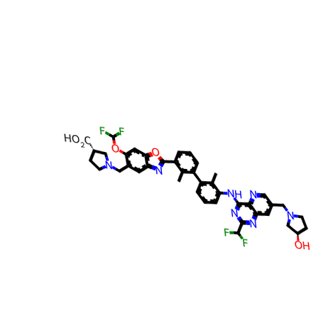 Cc1c(Nc2nc(C(F)F)nc3cc(CN4CC[C@@H](O)C4)cnc23)cccc1-c1cccc(-c2nc3cc(CN4CC[C@H](C(=O)O)C4)c(OC(F)F)cc3o2)c1C